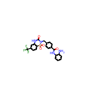 Nc1ccccc1NC(=O)c1ccc(CN2C(=O)Nc3cc(C(F)(F)F)ccc3S2(=O)=O)cc1